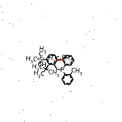 Cc1ccccc1P(Cc1c(CP)ccc([Si](C)(C)C)c1C(C)(C)C)c1ccccc1C